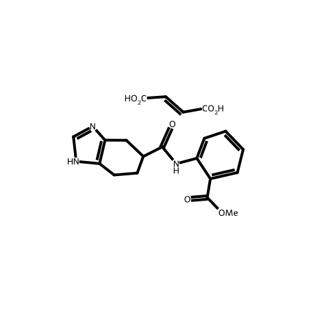 COC(=O)c1ccccc1NC(=O)C1CCc2[nH]cnc2C1.O=C(O)/C=C/C(=O)O